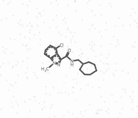 Cn1nc(C(=O)NCC2CCCCCC2)c2c(Cl)cccc21